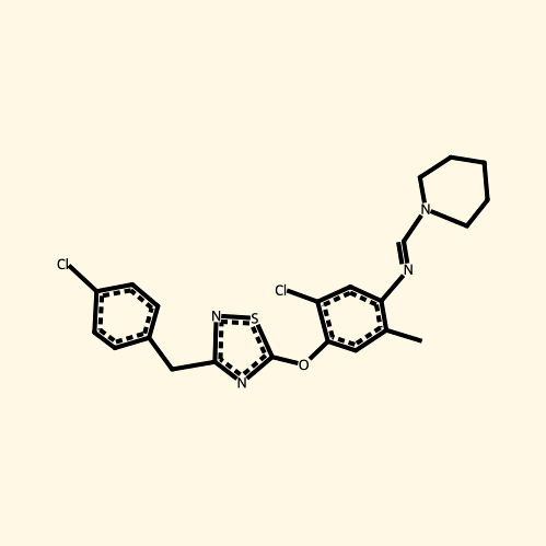 Cc1cc(Oc2nc(Cc3ccc(Cl)cc3)ns2)c(Cl)cc1N=CN1CCCCC1